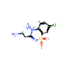 NCCC1=NS(=O)(=O)c2cc(Cl)ccc2N1N